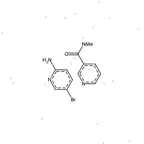 CNC(=O)c1cccnc1.Nc1ccc(Br)cn1